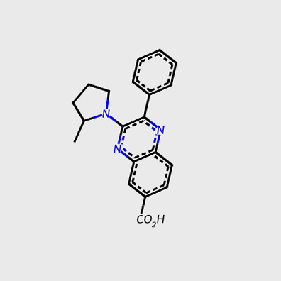 CC1CCCN1c1nc2cc(C(=O)O)ccc2nc1-c1ccccc1